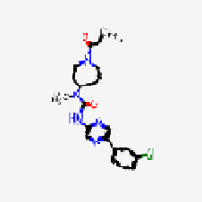 CCC(=O)N1CCC(N(C)C(=O)Nc2cnc(-c3cccc(Cl)c3)cn2)CC1